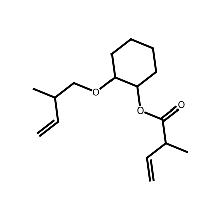 C=CC(C)COC1CCCCC1OC(=O)C(C)C=C